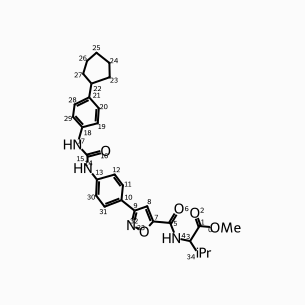 COC(=O)C(NC(=O)c1cc(-c2ccc(NC(=O)Nc3ccc(C4CCCCC4)cc3)cc2)no1)C(C)C